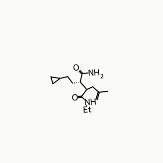 C=C(C)CC(C(=O)NCC)[C@H](CCC1CC1)C(N)=O